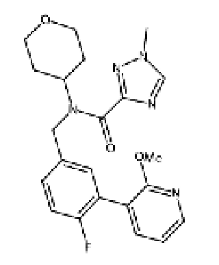 COc1ncccc1-c1cc(CN(C(=O)c2ncn(C)n2)C2CCOCC2)ccc1F